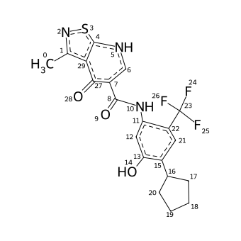 Cc1nsc2[nH]cc(C(=O)Nc3cc(O)c(C4CCCC4)cc3C(F)(F)F)c(=O)c12